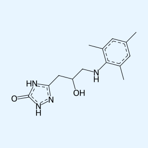 Cc1cc(C)c(NCC(O)Cc2n[nH]c(=O)[nH]2)c(C)c1